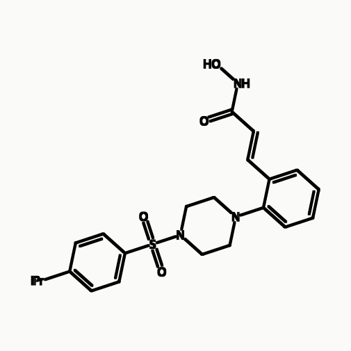 CC(C)c1ccc(S(=O)(=O)N2CCN(c3ccccc3C=CC(=O)NO)CC2)cc1